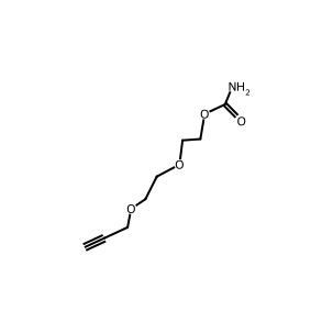 C#CCOCCOCCOC(N)=O